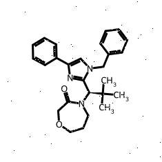 CC(C)(C)[C@H](c1nc(-c2ccccc2)cn1Cc1ccccc1)N1CCCOCC1=O